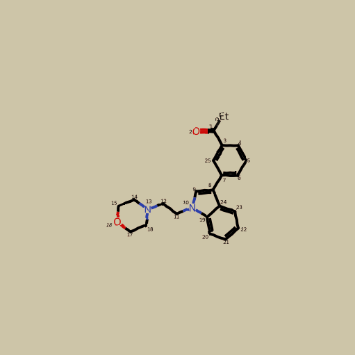 CCC(=O)c1cccc(-c2cn(CCN3CCOCC3)c3ccccc23)c1